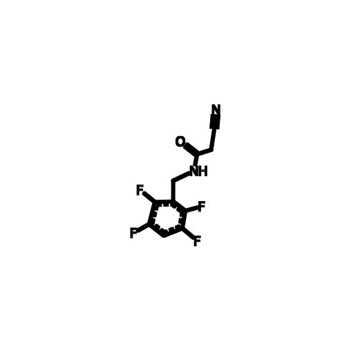 N#CCC(=O)NCc1c(F)c(F)cc(F)c1F